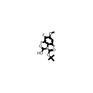 COc1cc(F)c(N(C(=O)O)C(=O)OC(C)(C)C)c(F)c1F